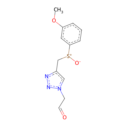 COc1cccc([S+]([O-])Cc2cn(CC=O)nn2)c1